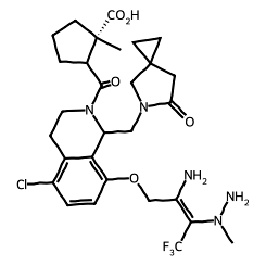 CN(N)/C(=C(\N)COc1ccc(Cl)c2c1C(CN1CC3(CC3)CC1=O)N(C(=O)C1CCC[C@]1(C)C(=O)O)CC2)C(F)(F)F